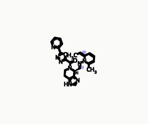 C/C=C1/C=CC=C(C)N1/N=C/[C@H]1c2nc[nH]c2CCN1C(=O)c1nnc(-c2ccccn2)o1